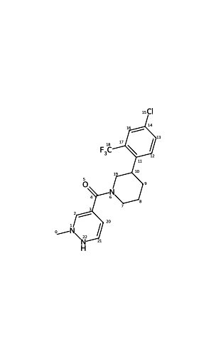 CN1C=C(C(=O)N2CCCC(c3ccc(Cl)cc3C(F)(F)F)C2)C=CN1